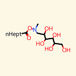 CCCCCCCC(=O)ON(C)CC(O)C(O)C(O)C(O)CO